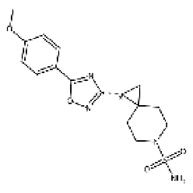 COc1ccc(-c2nc([C@@H]3CC34CCN(S(N)(=O)=O)CC4)no2)cc1